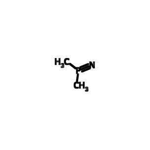 CP(C)#N